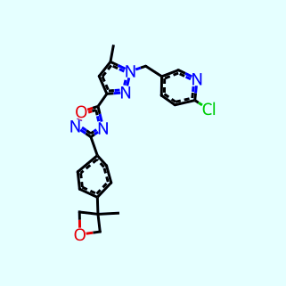 Cc1cc(-c2nc(-c3ccc(C4(C)COC4)cc3)no2)nn1Cc1ccc(Cl)nc1